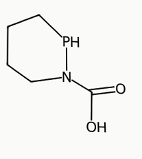 O=C(O)N1CCCCP1